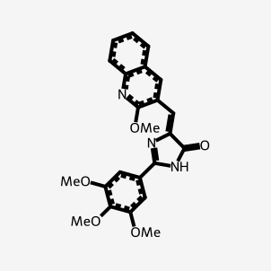 COc1cc(C2=N/C(=C\c3cc4ccccc4nc3OC)C(=O)N2)cc(OC)c1OC